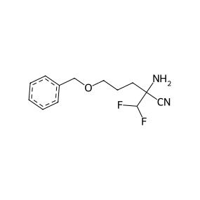 N#CC(N)(CCCOCc1ccccc1)C(F)F